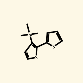 C[Si](C)(C)c1ccsc1-c1cccs1